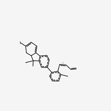 C=C/C=C\c1c(C)cccc1-c1ccc2c(c1)C(C)(C)C1CC(I)=CC=C21